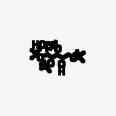 C[Si](C)(C)OC[C@@H](O)[C@@H](O[Si](C)(C)C)[C@H](O[Si](C)(C)C)[C@H](CO)O[Si](C)(C)C